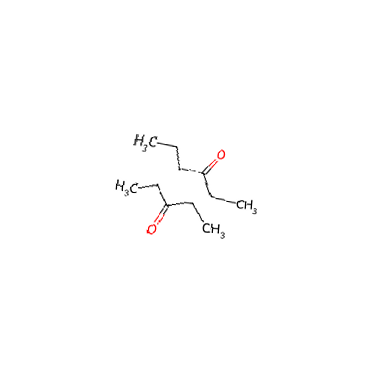 CCC(=O)CC.CCCC(=O)CC